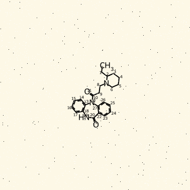 CCC1CCCCN1CCC(=O)N1c2ccccc2NC(=O)c2ccccc21